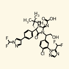 CC(C)(C)C[C@]1(c2ccc(-c3cnn(C(F)F)c3)cc2)NC(=NC(=O)O)N(C(CO)c2ccc(Cl)c(-n3ncnc3C(F)F)c2)C1=O